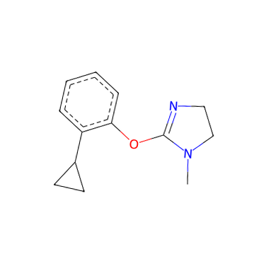 CN1CCN=C1Oc1ccccc1C1CC1